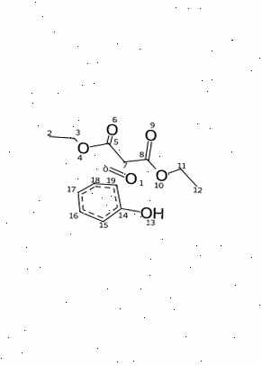 C=O.CCOC(=O)CC(=O)OCC.Oc1ccccc1